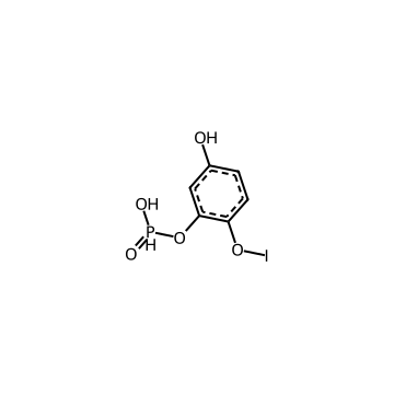 O=[PH](O)Oc1cc(O)ccc1OI